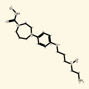 CCNC(=O)N1CCCN(c2ccc(OCCC[S+]([O-])CCN)cc2)CC1